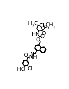 CCOC(=O)C(CC(C)C)NC(=O)OCc1ccc(C=NNC(=O)c2ccc(O)c(Cl)c2)c2ccccc12